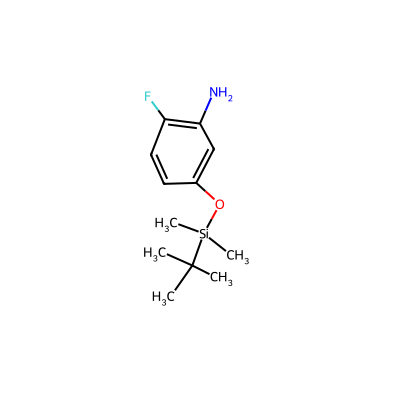 CC(C)(C)[Si](C)(C)Oc1ccc(F)c(N)c1